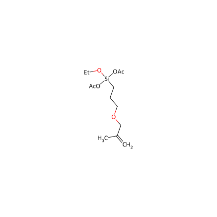 C=C(C)COCCC[Si](OCC)(OC(C)=O)OC(C)=O